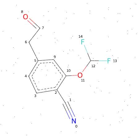 N#Cc1ccc(CC=O)cc1OC(F)F